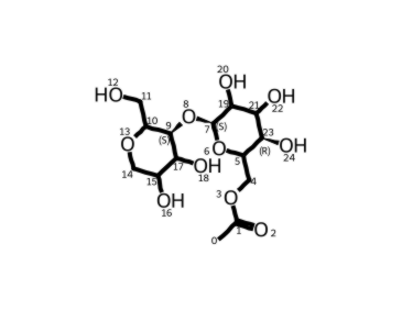 CC(=O)OCC1O[C@@H](O[C@@H]2C(CO)OCC(O)C2O)C(O)C(O)[C@H]1O